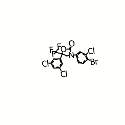 O=C1OC(c2cc(Cl)cc(Cl)c2)(C(F)(F)F)CN1c1ccc(Br)c(Cl)c1